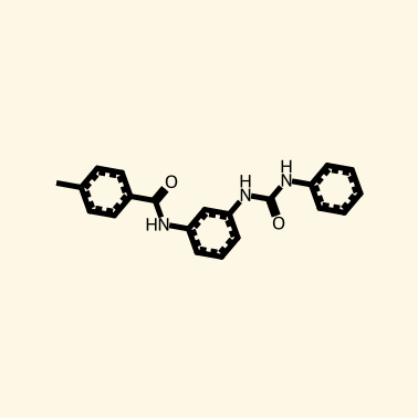 Cc1ccc(C(=O)Nc2cccc(NC(=O)Nc3ccccc3)c2)cc1